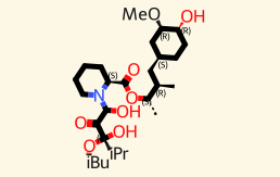 CCC(C)O[C@@](O)(C(=O)C(O)N1CCCC[C@H]1C(=O)O[C@@H](C)[C@H](C)C[C@@H]1CC[C@@H](O)[C@H](OC)C1)C(C)C